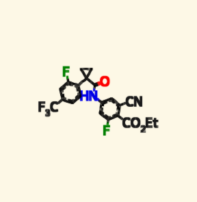 CCOC(=O)c1c(F)cc(NC(=O)C2(c3ccc(C(F)(F)F)cc3F)CC2)cc1C#N